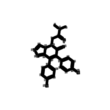 CN(C)C(=O)Cn1c(=O)c(-c2ccc(Cl)cc2)c(-c2ccc(Cl)cc2)c2nncn21